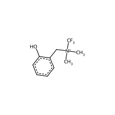 C[N+](C)(Cc1ccccc1O)C(F)(F)F